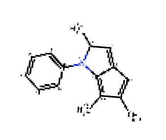 CC1=[C]C2=CC(C)N(c3ccccc3)C2=C1C